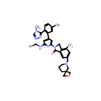 CC(C)CNc1cc(-c2cc(C#N)ccc2-c2nncn2C)cc(N2Cc3c(cc(CN4CCCC5(COC5)C4)cc3C(F)(F)F)C2=O)n1